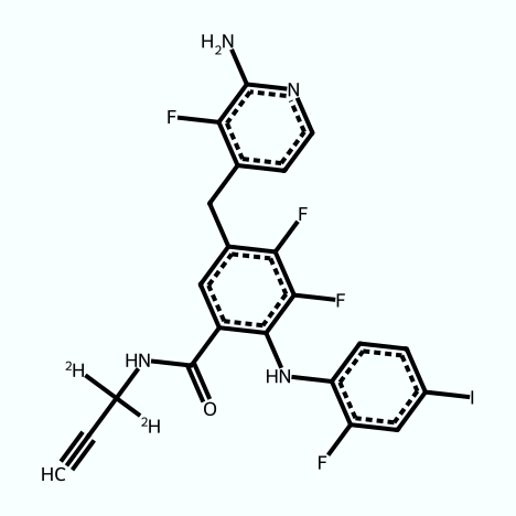 [2H]C([2H])(C#C)NC(=O)c1cc(Cc2ccnc(N)c2F)c(F)c(F)c1Nc1ccc(I)cc1F